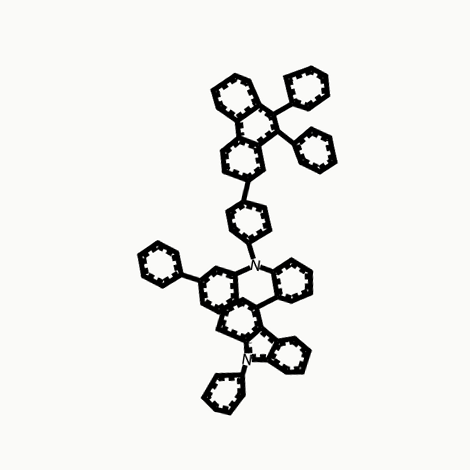 c1ccc(-c2cccc(N(c3ccc(-c4ccc5c(c4)c(-c4ccccc4)c(-c4ccccc4)c4ccccc45)cc3)c3ccccc3-c3cccc4c3c3ccccc3n4-c3ccccc3)c2)cc1